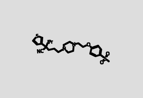 CC(C)C(C#N)(CCCN1CCN(CCOc2ccc(S(C)(=O)=O)cc2)CC1)c1ccsc1